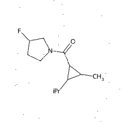 CC(C)C1C(C)C1C(=O)N1CCC(F)C1